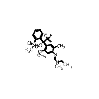 CCN(C)/C=N/c1cc(OC)c(C(O)(c2ccccc2S(C)(=O)=O)C(F)(F)F)cc1C